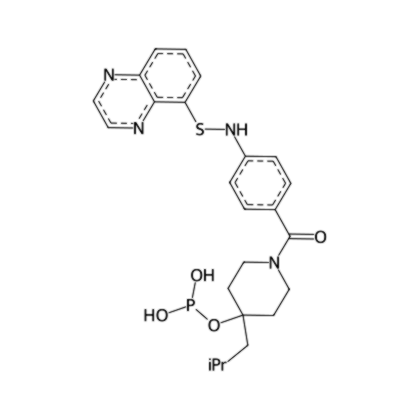 CC(C)CC1(OP(O)O)CCN(C(=O)c2ccc(NSc3cccc4nccnc34)cc2)CC1